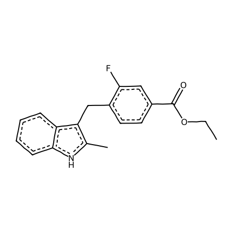 CCOC(=O)c1ccc(Cc2c(C)[nH]c3ccccc23)c(F)c1